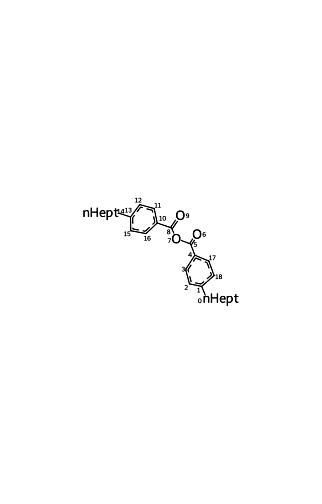 CCCCCCCc1ccc(C(=O)OC(=O)c2ccc(CCCCCCC)cc2)cc1